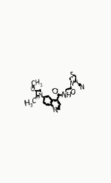 COC1CN(c2ccc3nccc(C(=O)NCC(=O)N4CSC[C@H]4C#N)c3c2)[C@H]1C